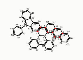 c1ccc(-c2ccccc2-c2c(-c3ccccc3)cccc2N(c2ccccc2)c2cccc(-c3ccc4c(c3)c3ccccc3n4-c3ccccc3)c2)cc1